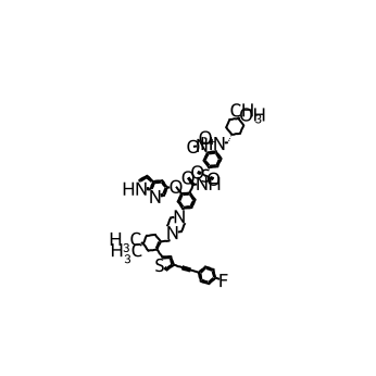 CC1(C)CCC(CN2CCN(c3ccc(C(=O)NS(=O)(=O)c4ccc(NC[C@H]5CC[C@](C)(O)CC5)c([N+](=O)[O-])c4)c(Oc4cnc5[nH]ccc5c4)c3)CC2)=C(c2cc(C#Cc3ccc(F)cc3)cs2)C1